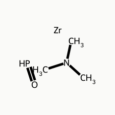 CN(C)C.O=P.[Zr]